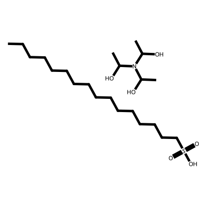 CC(O)N(C(C)O)C(C)O.CCCCCCCCCCCCCCCCS(=O)(=O)O